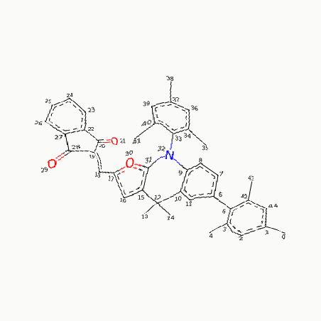 Cc1cc(C)c(-c2ccc3c(c2)C(C)(C)c2cc(C=C4C(=O)c5ccccc5C4=O)oc2N3c2c(C)cc(C)cc2C)c(C)c1